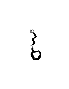 OCC[CH]Oc1ccccc1